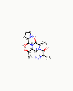 CC(N)C(=O)NC(C)C(=O)N(C(=O)C1CCCN1)C(C(=O)C(F)(F)F)C(C)C